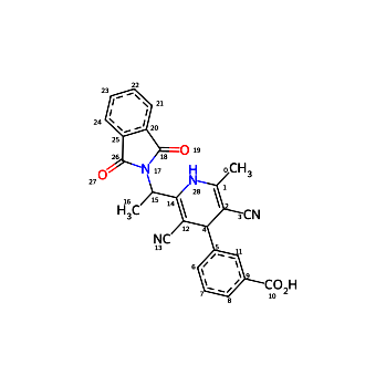 CC1=C(C#N)C(c2cccc(C(=O)O)c2)C(C#N)=C(C(C)N2C(=O)c3ccccc3C2=O)N1